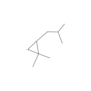 CC(C)CC1[CH]C1(C)C